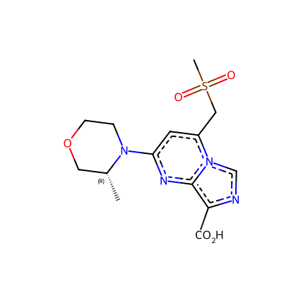 C[C@@H]1COCCN1c1cc(CS(C)(=O)=O)n2cnc(C(=O)O)c2n1